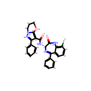 O=C(N[C@H]1N=C(c2ccccc2)c2cccc(F)c2NC1=O)c1c(-c2ccccc2)nn2c1OCCC2